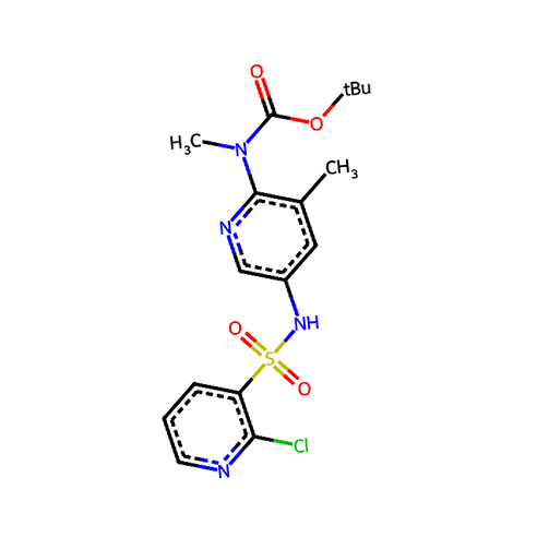 Cc1cc(NS(=O)(=O)c2cccnc2Cl)cnc1N(C)C(=O)OC(C)(C)C